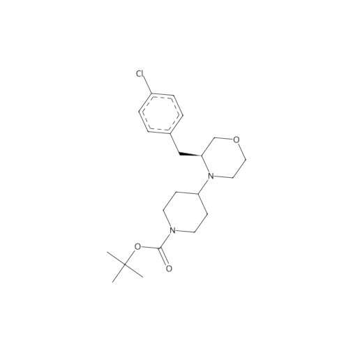 CC(C)(C)OC(=O)N1CCC(N2CCOC[C@@H]2Cc2ccc(Cl)cc2)CC1